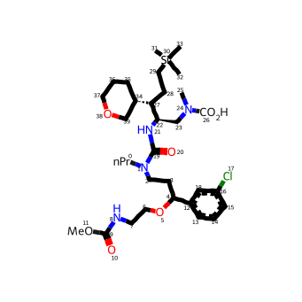 CCCN(CCC(OCCNC(=O)OC)c1cccc(Cl)c1)C(=O)N[C@H](CN(C)C(=O)O)C(CC[Si](C)(C)C)[C@H]1CCCOC1